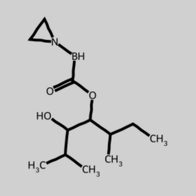 CCC(C)C(OC(=O)BN1CC1)C(O)C(C)C